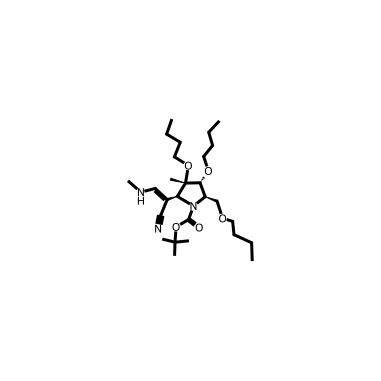 CCCCOC[C@@H]1[C@@H](OCCCC)[C@@](C)(OCCCC)[C@H](/C(C#N)=C/NC)N1C(=O)OC(C)(C)C